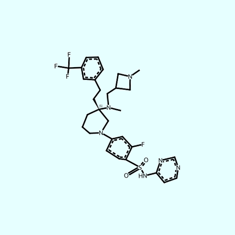 CN1CC(CN(C)[C@@]2(CCc3cccc(C(F)(F)F)c3)CCCN(c3ccc(S(=O)(=O)Nc4ccncn4)c(F)c3)C2)C1